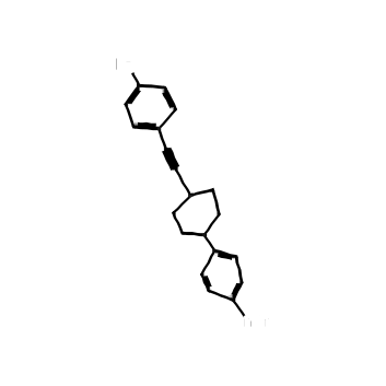 CCCc1ccc(C2CCC(C#Cc3ccc(CC)cc3)CC2)cc1